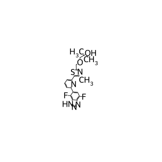 Cc1nc(COCC(C)(C)O)sc1-c1cccc(-c2cc(F)c3nn[nH]c3c2F)n1